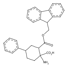 NC1(C(=O)O)CCC(c2ccccc2)CC1C(=O)OCC1c2ccccc2-c2ccccc21